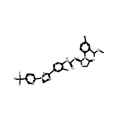 COC(C)c1cc(C)ccc1N1C(=O)CS/C1=N\C(=O)Nc1ccc(-c2ncn(-c3ccc(C(F)(F)F)cn3)n2)cc1F